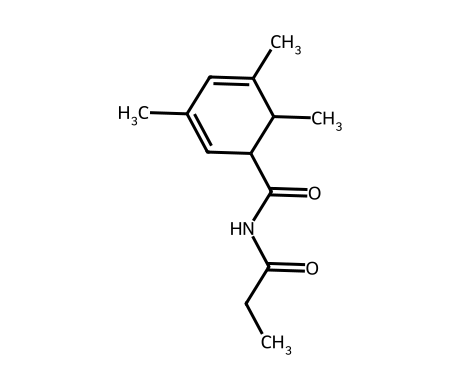 CCC(=O)NC(=O)C1C=C(C)C=C(C)C1C